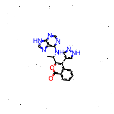 CC(Nc1ncnc2[nH]cnc12)c1oc(=O)c2ccccc2c1-c1cn[nH]c1